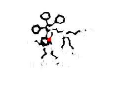 CSCCC[Si](CCCBr)(CCCSC)CCC[Si]1(CCC[Si](CCCBr)(CCCSC)CCCSC)C(c2ccccc2)=C(c2ccccc2)C(c2ccccc2)=C1c1ccccc1